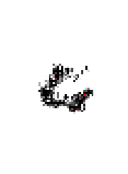 CC1(C)C[C@@H](Nc2cccc(-c3sc(C(=O)O)c(OCC(=O)O)c3Cl)c2F)CCN1S(=O)(=O)Cc1ccc(F)c(NC(=O)C2CN(C(=O)CNc3cccc4c3CN([C@H]3CCC(=O)NC3=O)C4=O)C2)c1